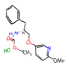 COC=O.COc1ccc(OC[C@H](N)Cc2ccccc2)cn1.Cl